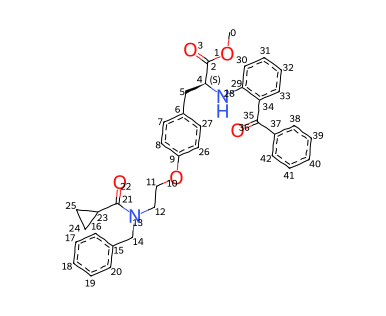 COC(=O)[C@H](Cc1ccc(OCCN(Cc2ccccc2)C(=O)C2CC2)cc1)Nc1ccccc1C(=O)c1ccccc1